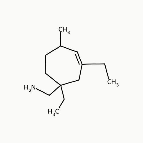 CCC1=CC(C)CCC(CC)(CN)C1